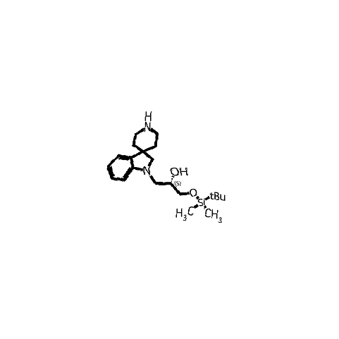 CC(C)(C)[Si](C)(C)OC[C@@H](O)CN1CC2(CCNCC2)c2ccccc21